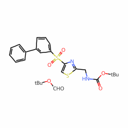 CC(C)(C)OC(=O)NCc1nc(S(=O)(=O)c2cccc(-c3ccccc3)c2)cs1.CC(C)(C)OC=O